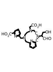 O=CC(CO)N1CCN(CC(=O)O)CCN(Cc2cccc(C(=O)O)n2)Cc2cccc(n2)C1